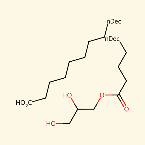 CCCCCCCCCCCCCC(=O)OCC(O)CO.CCCCCCCCCCCCCCCCCC(=O)O